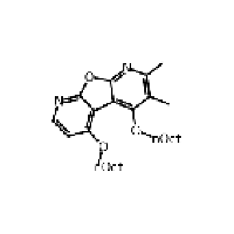 CCCCCCCCOc1ccnc2oc3nc(C)c(C)c(OCCCCCCCC)c3c12